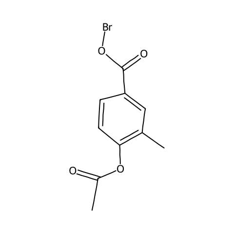 CC(=O)Oc1ccc(C(=O)OBr)cc1C